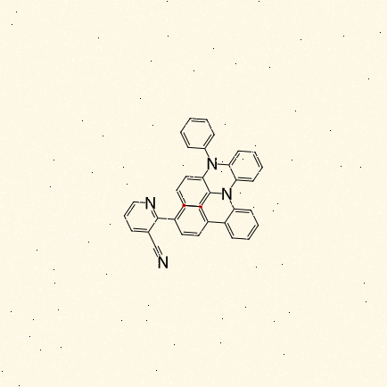 N#Cc1cccnc1-c1ccc(-c2ccccc2N2c3ccccc3N(c3ccccc3)c3ccccc32)cc1